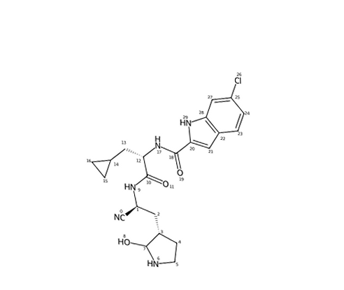 N#C[C@H](C[C@@H]1CCNC1O)NC(=O)[C@H](CC1CC1)NC(=O)c1cc2ccc(Cl)cc2[nH]1